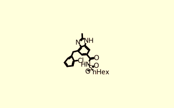 CCCCCCS(=O)(=O)NC(=O)c1cc(Cc2ccccc2Cl)c2nc(C)[nH]c2c1